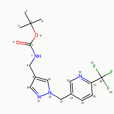 CC(C)(C)OC(=O)NCc1cnn(Cc2ccc(C(F)(F)F)nc2)c1